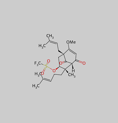 COC1=CC(=O)[C@H]2C(=O)[C@]1(CC=C(C)C)C[C@H](OS(=O)(=O)C(F)(F)F)[C@@]2(C)CCC=C(C)C